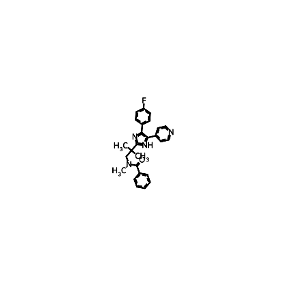 CN(CC(C)(C)c1nc(-c2ccc(F)cc2)c(-c2ccncc2)[nH]1)C(=O)c1ccccc1